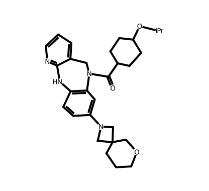 CC(C)OC1CCC(C(=O)N2Cc3cccnc3Nc3ccc(N4CC5(CCCOC5)C4)cc32)CC1